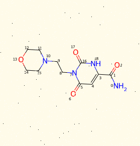 NC(=O)c1cc(=O)n(CCN2CCOCC2)c(=O)[nH]1